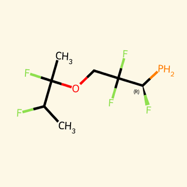 CC(F)C(C)(F)OCC(F)(F)[C@H](F)P